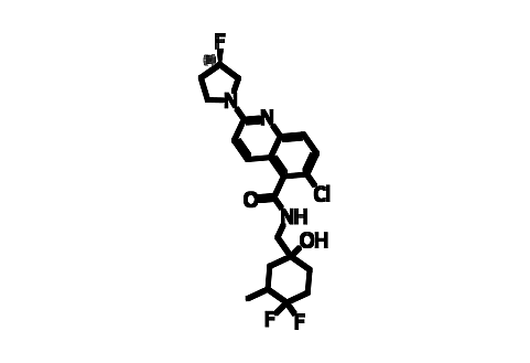 CC1CC(O)(CNC(=O)c2c(Cl)ccc3nc(N4CC[C@@H](F)C4)ccc23)CCC1(F)F